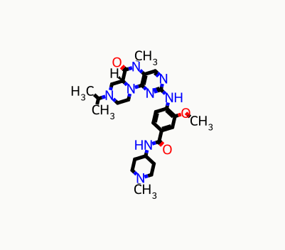 COc1cc(C(=O)NC2CCN(C)CC2)ccc1Nc1ncc2c(n1)N1CCN(C(C)C)C[C@@H]1C(=O)N2C